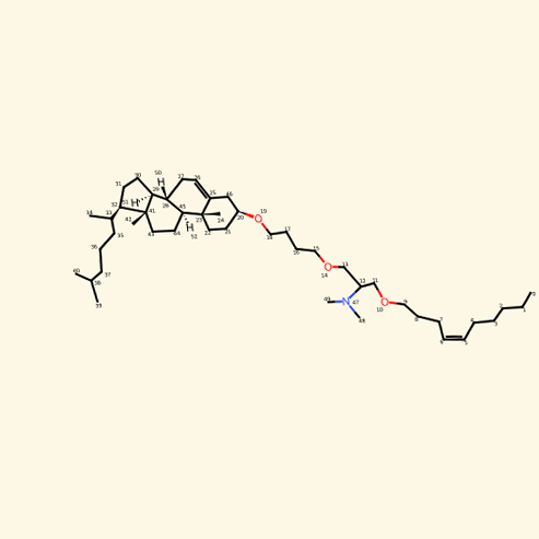 CCCCC/C=C\CCCOCC(COCCCCO[C@H]1CC[C@@]2(C)C(=CC[C@H]3[C@@H]4CC[C@H](C(C)CCCC(C)C)[C@@]4(C)CC[C@@H]32)C1)N(C)C